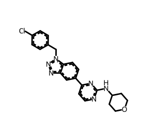 Clc1ccc(Cn2nnc3cc(-c4ccnc(NC5CCOCC5)n4)ccc32)cc1